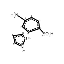 Nc1ccc(S(=O)(=O)O)cc1.c1cnoc1